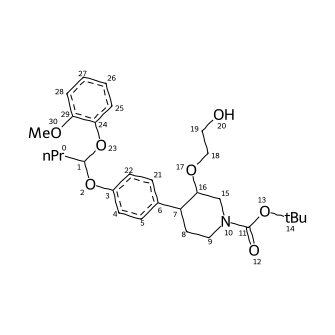 CCCC(Oc1ccc(C2CCN(C(=O)OC(C)(C)C)CC2OCCO)cc1)Oc1ccccc1OC